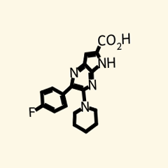 O=C(O)c1cc2nc(-c3ccc(F)cc3)c(N3CCCCC3)nc2[nH]1